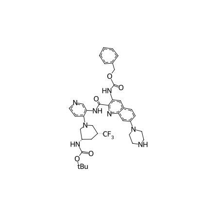 CC(C)(C)OC(=O)N[C@H]1C[C@@H](C(F)(F)F)CN(c2ccncc2NC(=O)c2nc3cc(N4CCNCC4)ccc3cc2NC(=O)OCc2ccccc2)C1